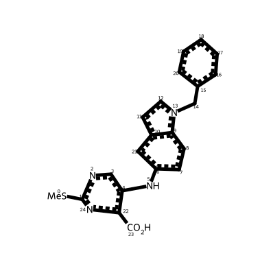 CSc1ncc(Nc2ccc3c(ccn3Cc3ccccc3)c2)c(C(=O)O)n1